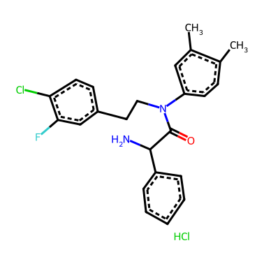 Cc1ccc(N(CCc2ccc(Cl)c(F)c2)C(=O)C(N)c2ccccc2)cc1C.Cl